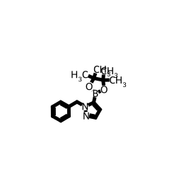 CC1(C)OB(c2ccnn2Cc2ccccc2)OC1(C)C